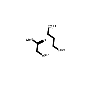 CCCCCCCCCCCC(=O)NC.CCCCCCCCCCCCCC(=O)OCC